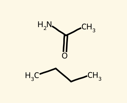 CC(N)=O.CCCC